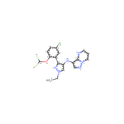 O=C(O)Cn1cc(Nc2cnn3cccnc23)c(-c2cc(Cl)ccc2OC(F)F)n1